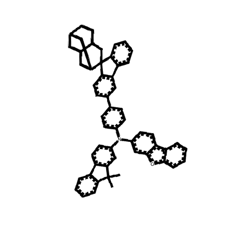 CC1(C)c2ccccc2-c2ccc(N(c3ccc(-c4ccc5c(c4)-c4ccccc4C54CC5CCC6CC5CC4C6)cc3)c3ccc4c(c3)oc3ccccc34)cc21